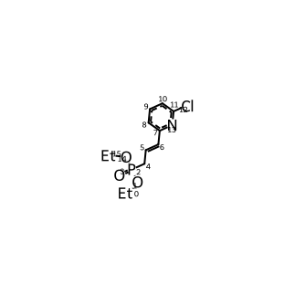 CCOP(=O)(C/C=C/c1cccc(Cl)n1)OCC